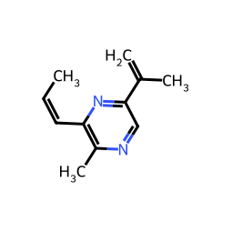 C=C(C)c1cnc(C)c(/C=C\C)n1